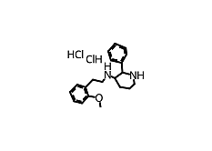 COc1ccccc1CCNC1CCCNC1c1ccccc1.Cl.Cl